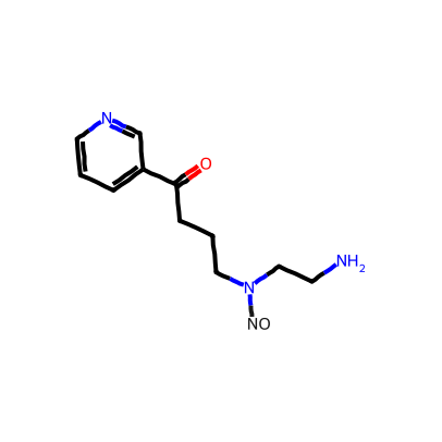 NCCN(CCCC(=O)c1cccnc1)N=O